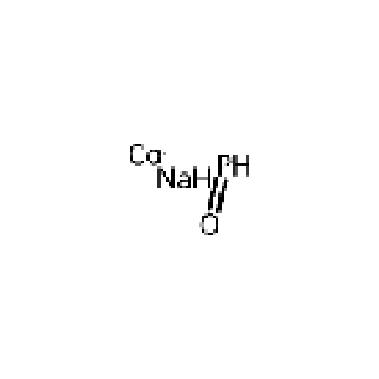 O=P.[Co].[NaH]